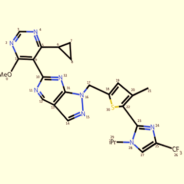 COc1ncnc(C2CC2)c1-c1ncc2cnn(Cc3cc(C)c(-c4nc(C(F)(F)F)cn4C(C)C)s3)c2n1